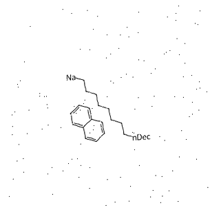 CCCCCCCCCCCCCCCCC[CH2][Na].c1ccc2ccccc2c1